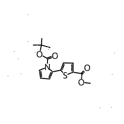 COC(=O)c1ccc(-c2cccn2C(=O)OC(C)(C)C)s1